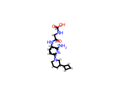 Nc1nc(N2CCCC(C3CCC3)C2)ccc1NC(=O)CNC(=O)O